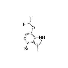 Cc1c[nH]c2c(OC(F)F)ccc(Br)c12